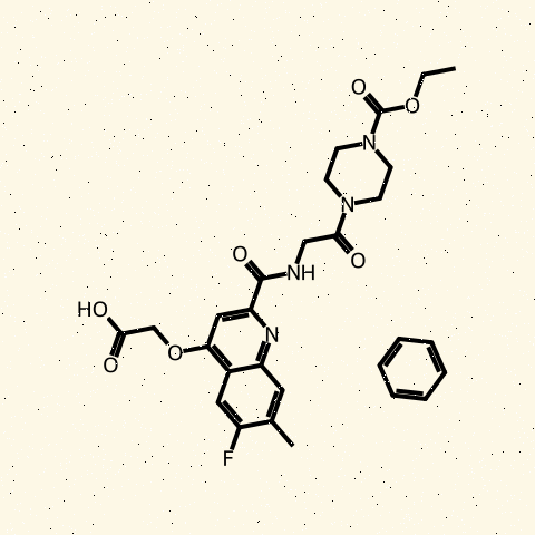 CCOC(=O)N1CCN(C(=O)CNC(=O)c2cc(OCC(=O)O)c3cc(F)c(C)cc3n2)CC1.c1ccccc1